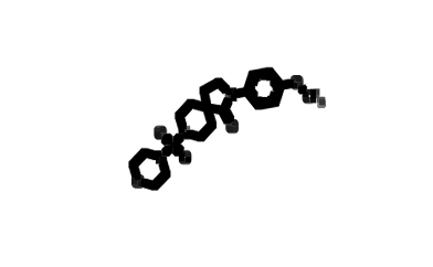 O=C1N(c2ccc(OC(F)(F)F)cc2)CCC12CCN(S(=O)(=O)N1CCOCC1)CC2